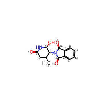 C[C@H]1CC(=O)NC(O)[C@H]1N1C(=O)c2ccccc2C1=O